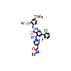 CCNC(=O)Cc1ccc(Nc2cc(-c3c(F)cccc3Cl)nc3c2C(=O)N(Cc2ccc(OC)cc2OC)C3)nc1